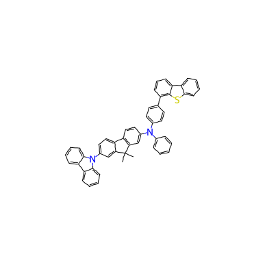 CC1(C)c2cc(N(c3ccccc3)c3ccc(-c4cccc5c4sc4ccccc45)cc3)ccc2-c2ccc(-n3c4ccccc4c4ccccc43)cc21